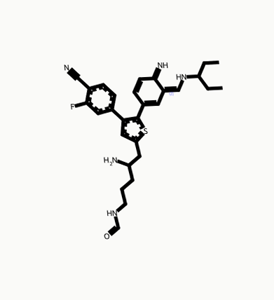 CCC(CC)N/C=C1/C=C(c2sc(CC(N)CCCNC=O)cc2-c2ccc(C#N)c(F)c2)C=CC1=N